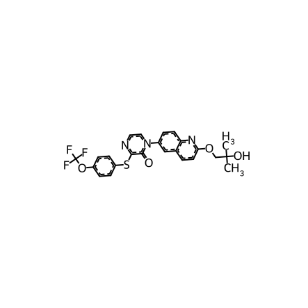 CC(C)(O)COc1ccc2cc(-n3ccnc(Sc4ccc(OC(F)(F)F)cc4)c3=O)ccc2n1